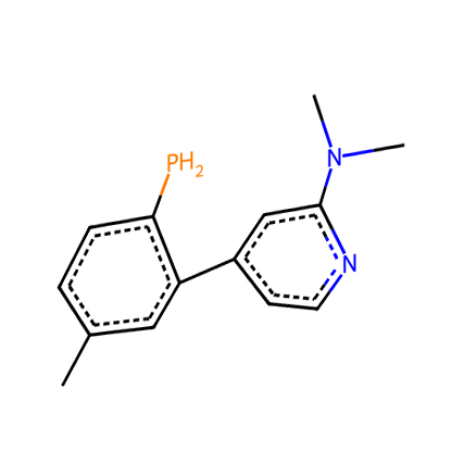 Cc1ccc(P)c(-c2ccnc(N(C)C)c2)c1